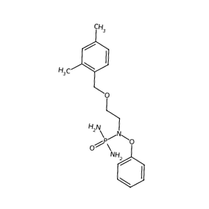 Cc1ccc(COCCN(Oc2ccccc2)P(N)(N)=O)c(C)c1